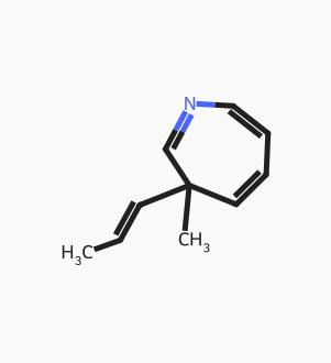 C/C=C/C1(C)C=CC=CN=C1